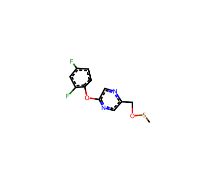 CSOCc1cnc(Oc2ccc(F)cc2F)cn1